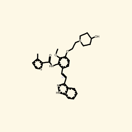 COc1c(OCCN2CCC(O)CC2)ccc(/C=C/c2n[nH]c3ccccc23)c1NC(=O)c1sccc1C